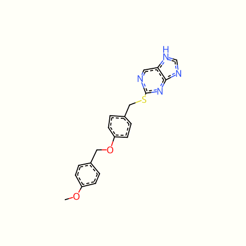 COc1ccc(COc2ccc(CSc3ncc4[nH]cnc4n3)cc2)cc1